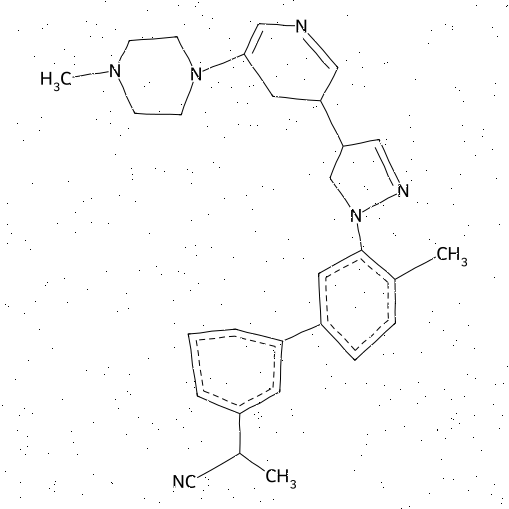 Cc1ccc(-c2cccc(C(C)C#N)c2)cc1N1CC(C2C=NC=C(N3CCN(C)CC3)C2)C=N1